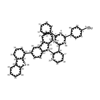 CC(C)(C)c1ccc(-c2nc(-c3ccccc3)nc(-c3cccnc3-n3c4ccccc4c4cc(-c5cccc6c5sc5ccccc56)ccc43)n2)cc1